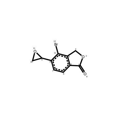 O=C1OCc2c1ccc(C1CO1)c2Br